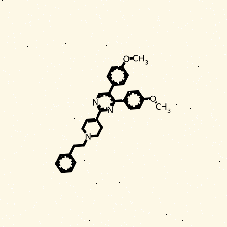 COc1ccc(-c2cnc(C3=CCN(CCc4ccccc4)CC3)nc2-c2ccc(OC)cc2)cc1